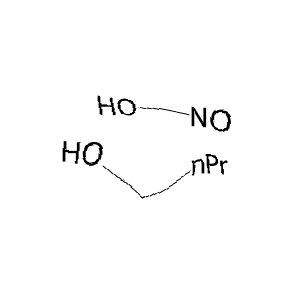 CCCCO.O=NO